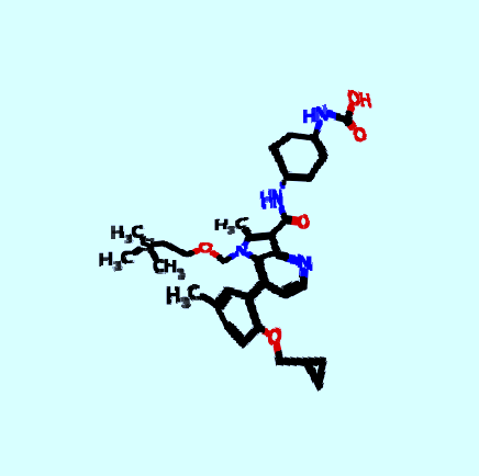 Cc1ccc(OCC2CC2)c(-c2ccnc3c(C(=O)N[C@H]4CC[C@H](NC(=O)O)CC4)c(C)n(COCC[Si](C)(C)C)c23)c1